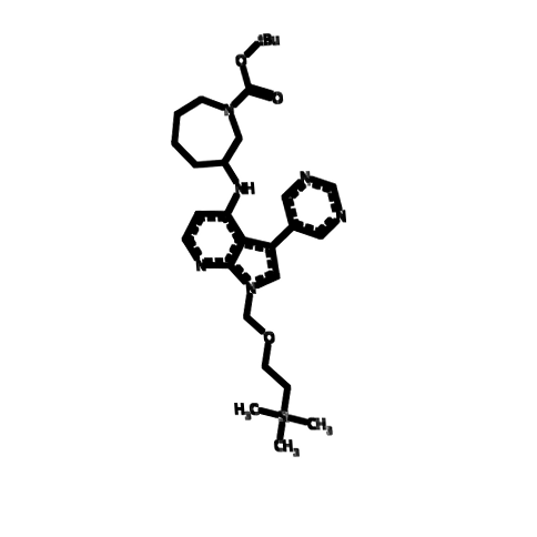 CC(C)(C)OC(=O)N1CCCCC(Nc2ccnc3c2c(-c2cncnc2)cn3COCC[Si](C)(C)C)C1